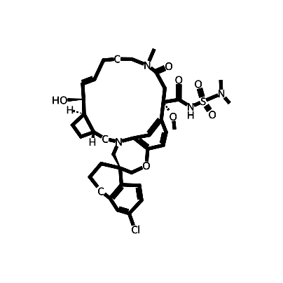 CO[C@@]1(C(=O)NS(=O)(=O)N(C)C)CC(=O)N(C)CCC/C=C/[C@H](O)[C@@H]2CC[C@H]2CN2C[C@@]3(CCCc4cc(Cl)ccc43)COc3ccc1cc32